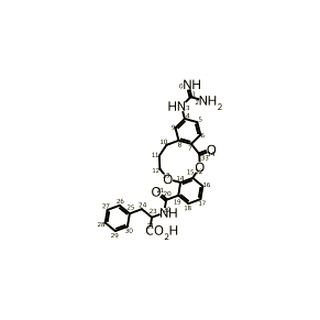 N=C(N)Nc1ccc2c(c1)CCCOc1c(cccc1C(=O)NC(Cc1ccccc1)C(=O)O)OC2=O